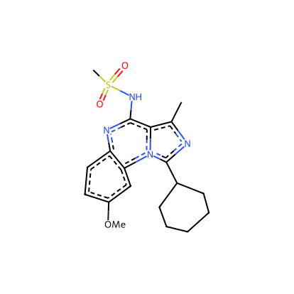 COc1ccc2nc(NS(C)(=O)=O)c3c(C)nc(C4CCCCC4)n3c2c1